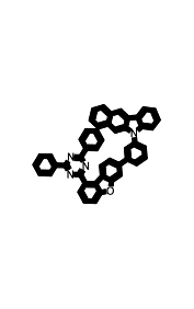 c1ccc(-c2nc(-c3ccccc3)nc(-c3cccc4oc5cc(-c6cccc(-n7c8ccccc8c8cc9ccccc9cc87)c6)ccc5c34)n2)cc1